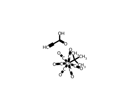 C#CC(=O)O.C[C](C)(C)[Co](=[C]=O)(=[C]=O)(=[C]=O)(=[C]=O)(=[C]=O)=[C]=O